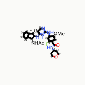 COc1cc(C(=O)NC2CCOCC2)c(F)cc1Nc1ncc(C(F)(F)F)c(N[C@@H]2Cc3ccccc3[C@H]2NC(C)=O)n1